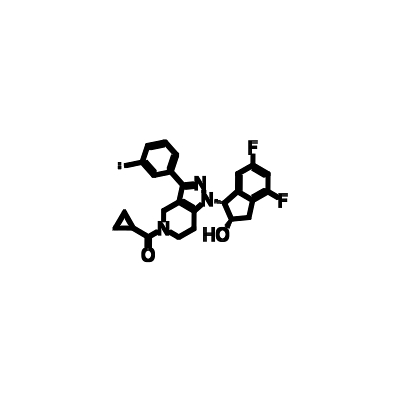 [CH]c1cccc(-c2nn([C@@H]3c4cc(F)cc(F)c4C[C@H]3O)c3c2CN(C(=O)C2CC2)CC3)c1